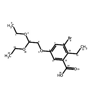 CCOC(COc1cc(Br)c(CC)c(C(=O)O)c1)OCC